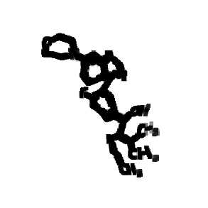 C=C/C=N\C(=C(C)C)C(O)c1ccc(F)c(-c2ncnc3cc(N4CCOCC4)ccc23)c1